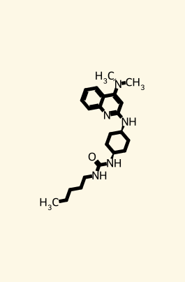 CCCCCNC(=O)N[C@H]1CC[C@@H](Nc2cc(N(C)C)c3ccccc3n2)CC1